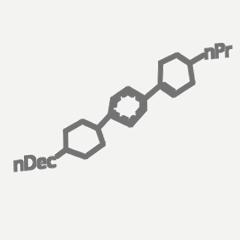 CCCCCCCCCCC1CCC(c2ccc(C3=CCC(CCC)CC3)cc2)CC1